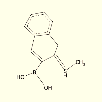 C[SH]=C1Cc2ccccc2C=C1B(O)O